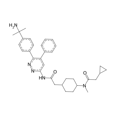 CN(C(=O)CC1CC1)C1CCC(CC(=O)Nc2cc(-c3ccccc3)c(-c3ccc(C(C)(C)N)cc3)nn2)CC1